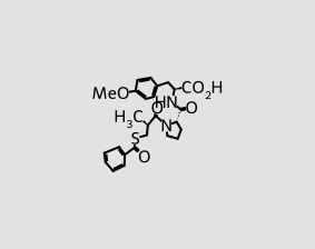 COc1ccc(C[C@H](NC(=O)[C@@H]2CCCN2C(=O)[C@H](C)CSC(=O)c2ccccc2)C(=O)O)cc1